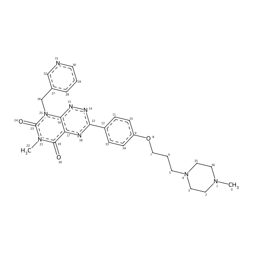 CN1CCN(CCCOc2ccc(-c3nnc4c(n3)c(=O)n(C)c(=O)n4Cc3cccnc3)cc2)CC1